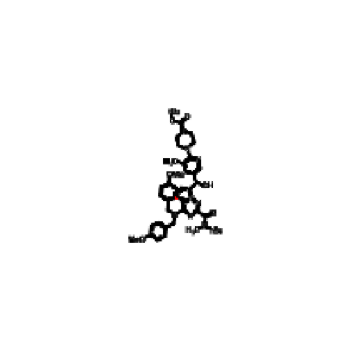 CCCCN(C)C(=O)c1nc(N(Cc2ccc(OC)cc2)Cc2ccc(OC)cc2)c2ncc(C(O)c3cnc(N4CCN(C(=O)OC(C)(C)C)CC4)c(C)c3)n2n1